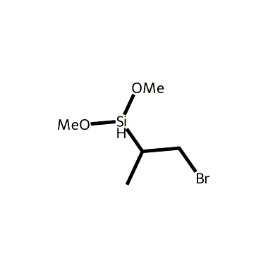 CO[SiH](OC)C(C)CBr